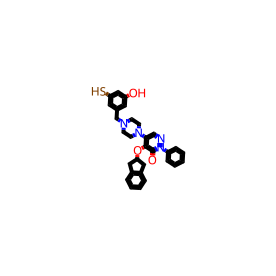 O=c1c(OC2Cc3ccccc3C2)c(N2CCN(Cc3cc(O)cc(S)c3)CC2)cnn1-c1ccccc1